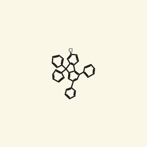 Clc1ccc2c(c1)C(c1ccccc1)(c1ccccc1)c1cc(-c3ccccc3)cc(-c3ccccc3)c1-2